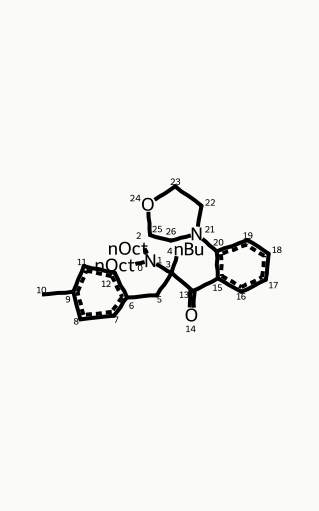 CCCCCCCCN(CCCCCCCC)C(CCCC)(Cc1ccc(C)cc1)C(=O)c1ccccc1N1CCOCC1